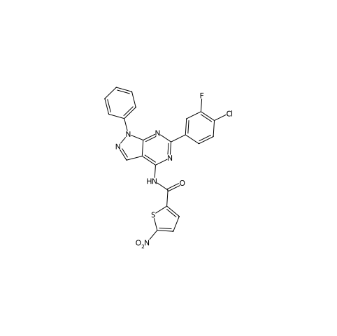 O=C(Nc1nc(-c2ccc(Cl)c(F)c2)nc2c1cnn2-c1ccccc1)c1ccc([N+](=O)[O-])s1